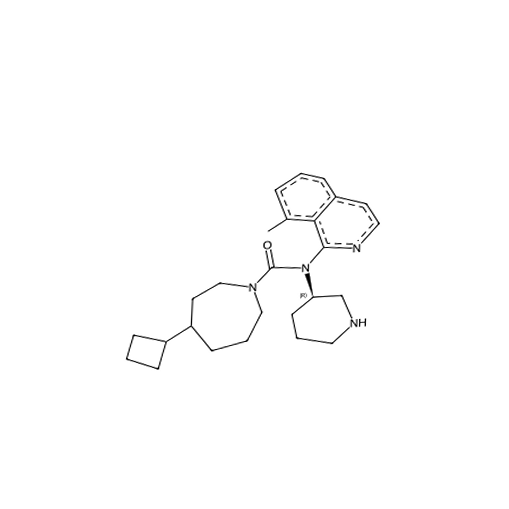 Cc1cccc2ccnc(N(C(=O)N3CCCC(C4CCC4)CC3)[C@@H]3CCCNC3)c12